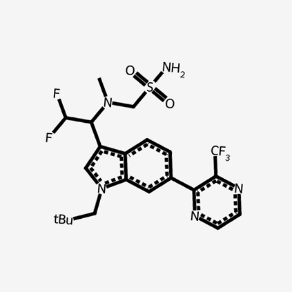 CN(CS(N)(=O)=O)C(c1cn(CC(C)(C)C)c2cc(-c3nccnc3C(F)(F)F)ccc12)C(F)F